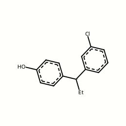 CC[C](c1ccc(O)cc1)c1cccc(Cl)c1